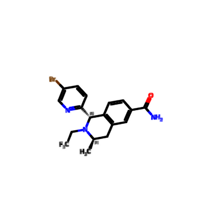 C[C@@H]1Cc2cc(C(N)=O)ccc2[C@@H](c2ccc(Br)cn2)N1CC(F)(F)F